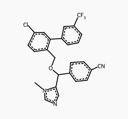 Cn1cncc1C(OCc1ccc(Cl)cc1-c1cccc(C(F)(F)F)c1)c1ccc(C#N)cc1